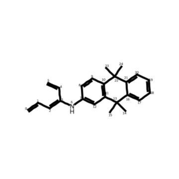 C=C/C=C(\C=C)Nc1ccc2c(c1)C(C)(C)c1ccccc1C2(C)C